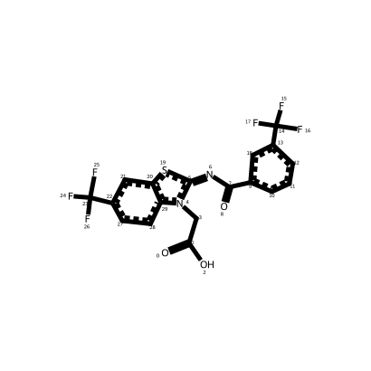 O=C(O)Cn1c(=NC(=O)c2cccc(C(F)(F)F)c2)sc2cc(C(F)(F)F)ccc21